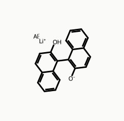 [Al].[Li+].[O-]c1ccc2ccccc2c1-c1c(O)ccc2ccccc12